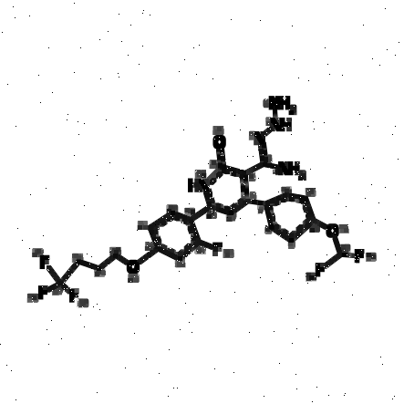 NN/N=C(\N)c1c(-c2ccc(OC(F)F)cc2)cc(-c2ccc(OCCCC(F)(F)F)cc2F)[nH]c1=O